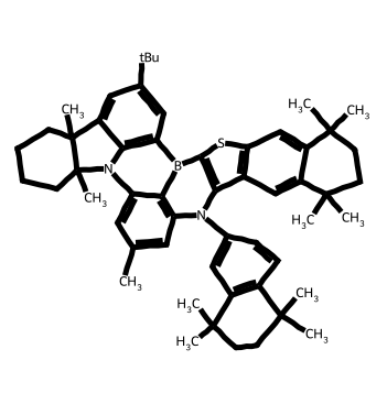 Cc1cc2c3c(c1)N1c4c(cc(C(C)(C)C)cc4C4(C)CCCCC14C)B3c1sc3cc4c(cc3c1N2c1ccc2c(c1)C(C)(C)CCC2(C)C)C(C)(C)CCC4(C)C